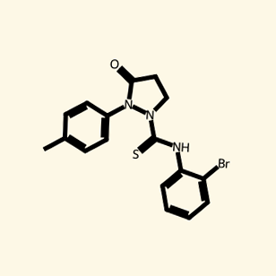 Cc1ccc(N2C(=O)CCN2C(=S)Nc2ccccc2Br)cc1